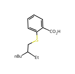 CCCCC(CC)CSc1ccccc1C(=O)O